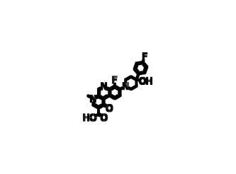 Cn1cc(C(=O)O)c(=O)c2c3ccc(N4CCC(O)(c5ccc(F)cc5)CC4)c(F)c3ncc21